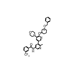 Cc1ncc(NC(=O)c2cccc(C(F)(F)F)c2)cc1-c1cnc(O[C@@H]2CCC[C@@H](OCc3ccccc3)C2)c(N2CCOCC2)c1